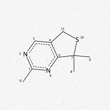 Cc1ncc2c(n1)C(C)(C)SC2